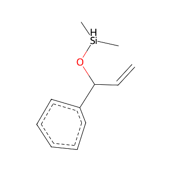 C=CC(O[SiH](C)C)c1ccccc1